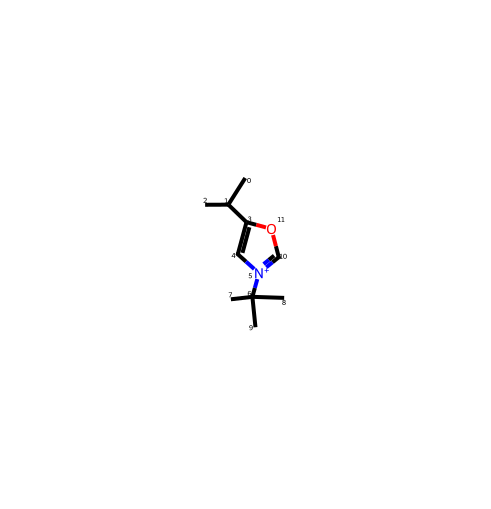 CC(C)c1c[n+](C(C)(C)C)co1